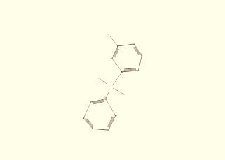 Clc1cccc([Si](Cl)(Cl)c2ccccc2)c1